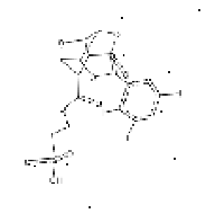 O=C(OC1C2OC(=O)C3C2OC1C3C(=O)OCCS(=O)(=O)O)c1cc(I)cc(I)c1I